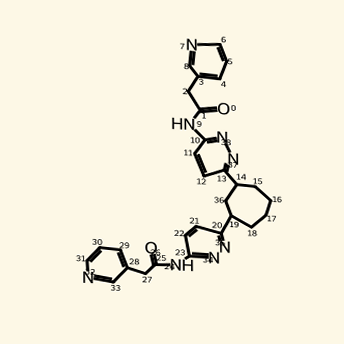 O=C(Cc1cccnc1)Nc1ccc(C2CCCCC(c3ccc(NC(=O)Cc4cccnc4)nn3)C2)nn1